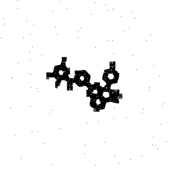 CN(c1nc(-c2ccnc(Nc3nc(F)cc(F)c3F)c2)nc2cncc(C3CC3)c12)C1CCNCC1